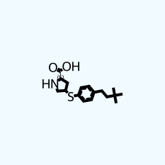 CC(C)(C)CCc1ccc(SC2CN[C@H](C(=O)O)C2)cc1